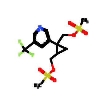 CS(=O)(=O)OCC1CC1(COS(C)(=O)=O)c1cncc(C(F)(F)F)c1